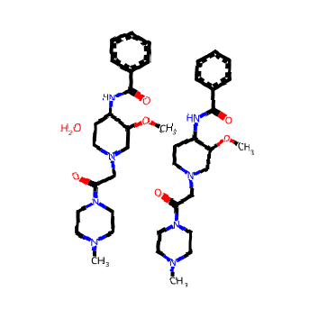 COC1CN(CC(=O)N2CCN(C)CC2)CCC1NC(=O)c1ccccc1.COC1CN(CC(=O)N2CCN(C)CC2)CCC1NC(=O)c1ccccc1.O